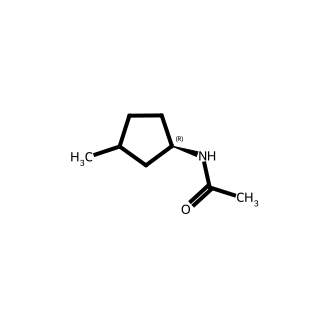 CC(=O)N[C@@H]1CCC(C)C1